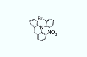 O=[N+]([O-])c1cccc2c1N(c1ccccc1Br)c1ccccc1C2